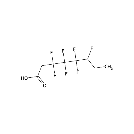 CCC(F)C(F)(F)C(F)(F)C(F)(F)CC(=O)O